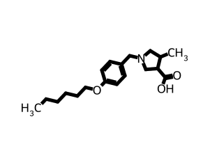 CCCCCCOc1ccc(CN2CC(C)C(C(=O)O)C2)cc1